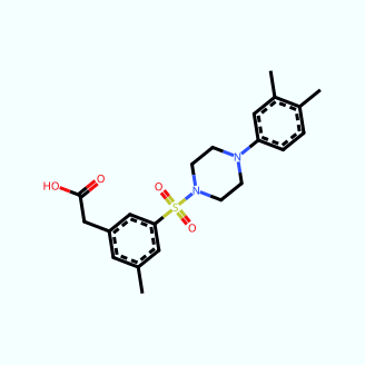 Cc1cc(CC(=O)O)cc(S(=O)(=O)N2CCN(c3ccc(C)c(C)c3)CC2)c1